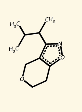 CC(C)C(C)c1noc2c1COCC2